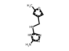 Cc1cc(CNc2nnc(N)[nH]2)co1